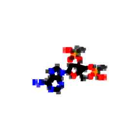 CC(C)P(=O)(O)OC1[C@H]2O[C@@H](n3cnc4c(N)ncnc43)C[C@@]12OP(=O)(O)C(C)C